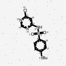 CC(C)(C)c1ccc(S(=O)(=O)Nc2cc(Cl)ncn2)cc1